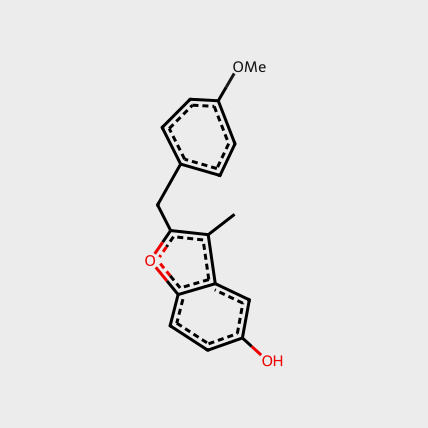 COc1ccc(Cc2oc3ccc(O)cc3c2C)cc1